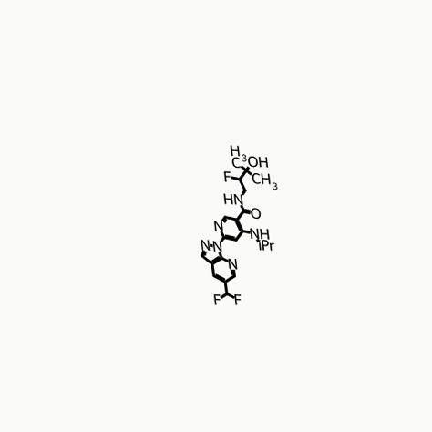 CC(C)Nc1cc(-n2ncc3cc(C(F)F)cnc32)ncc1C(=O)NCC(F)C(C)(C)O